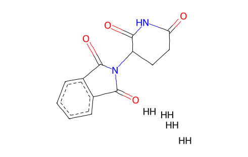 O=C1CCC(N2C(=O)c3ccccc3C2=O)C(=O)N1.[HH].[HH].[HH].[HH]